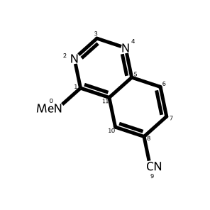 CNc1ncnc2ccc(C#N)cc12